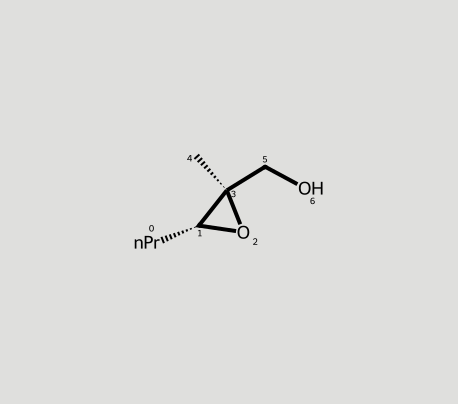 CCC[C@H]1O[C@]1(C)CO